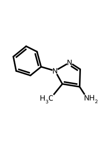 Cc1c(N)cnn1-c1ccccc1